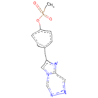 CS(=O)(=O)Oc1ccc(-c2cn3cnncc3n2)cc1